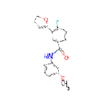 COc1cccc(NC(=O)c2ccc(F)c(C3=CCCO3)c2)c1